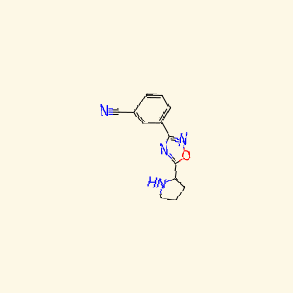 N#Cc1cccc(-c2noc(C3CCCN3)n2)c1